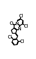 O=c1c2c(nc3c(Cl)cc(Cl)cn13)C(=Cc1c(Cl)cccc1Cl)CC2